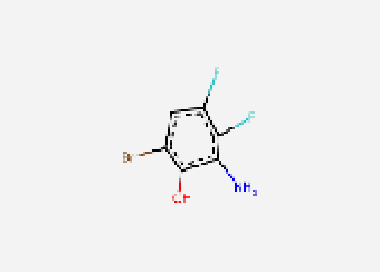 Nc1c(O)c(Br)cc(F)c1F